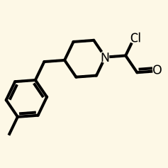 Cc1ccc(CC2CCN(C(Cl)C=O)CC2)cc1